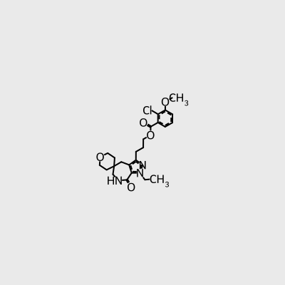 CCn1nc(CCCOC(=O)c2cccc(OC)c2Cl)c2c1C(=O)NCC1(CCOCC1)C2